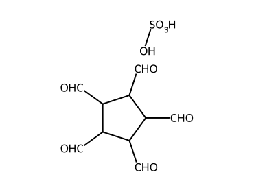 O=CC1C(C=O)C(C=O)C(C=O)C1C=O.O=S(=O)(O)O